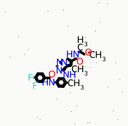 COC[C@H](C)NC(=O)c1cn2ncnc(Nc3cc(NC(=O)c4ccc(F)c(F)c4)ccc3C)c2c1C